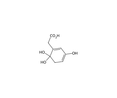 O=C(O)CC1=CC(O)=CCC1(O)O